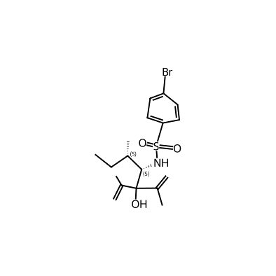 C=C(C)C(O)(C(=C)C)[C@@H](NS(=O)(=O)c1ccc(Br)cc1)[C@@H](C)CC